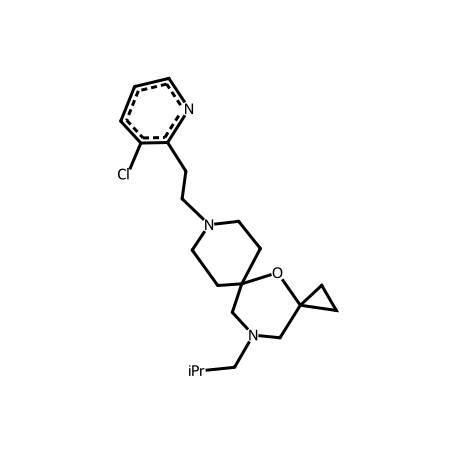 CC(C)CN1CC2(CCN(CCc3ncccc3Cl)CC2)OC2(CC2)C1